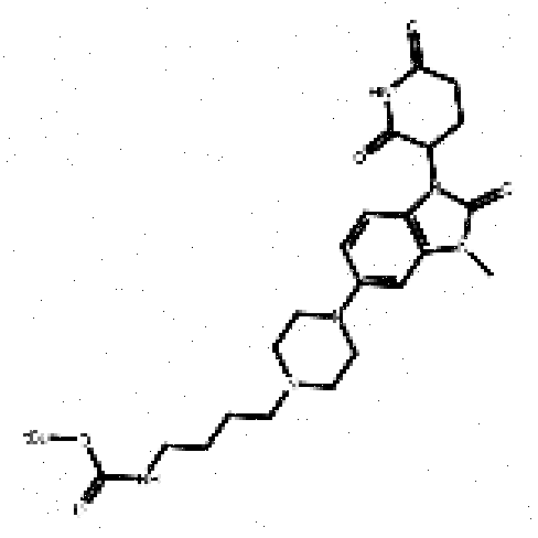 Cn1c(=O)n(C2CCC(=O)NC2=O)c2ccc(N3CCN(CCCCNC(=O)OC(C)(C)C)CC3)cc21